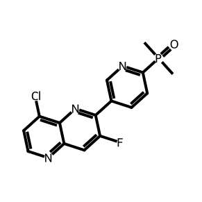 CP(C)(=O)c1ccc(-c2nc3c(Cl)ccnc3cc2F)cn1